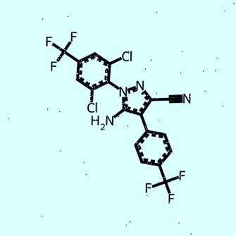 N#Cc1nn(-c2c(Cl)cc(C(F)(F)F)cc2Cl)c(N)c1-c1ccc(C(F)(F)F)cc1